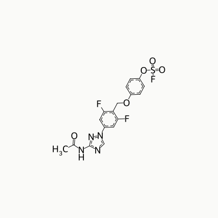 CC(=O)Nc1ncn(-c2cc(F)c(COc3ccc(OS(=O)(=O)F)cc3)c(F)c2)n1